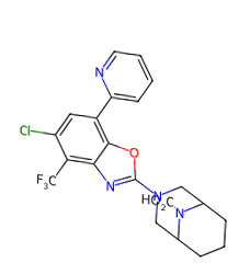 O=C(O)N1C2CCCC1CN(c1nc3c(C(F)(F)F)c(Cl)cc(-c4ccccn4)c3o1)C2